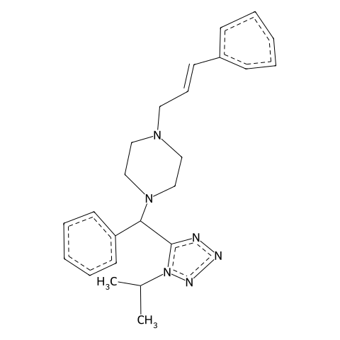 CC(C)n1nnnc1C(c1ccccc1)N1CCN(CC=Cc2ccccc2)CC1